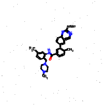 CNc1ncc2cc(-c3cc(C(=O)Nc4cc(C(F)(F)F)ccc4CN4CCN(C)CC4)ccc3C)ccc2n1